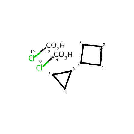 C1CC1.C1CCC1.O=C(O)Cl.O=C(O)Cl